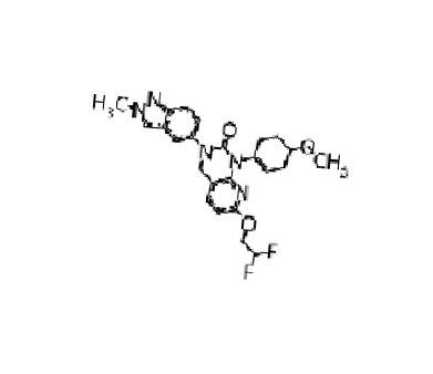 COC1CC=C(N2C(=O)N(c3ccc4nn(C)cc4c3)Cc3ccc(OCC(F)F)nc32)CC1